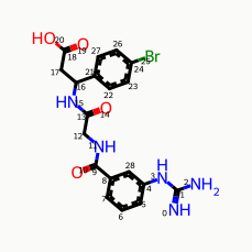 N=C(N)Nc1cccc(C(=O)NCC(=O)NC(CC(=O)O)c2ccc(Br)cc2)c1